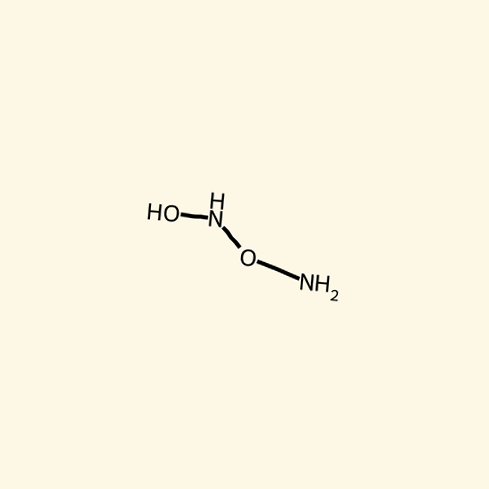 NONO